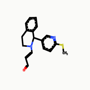 CSc1ccc(C2c3ccccc3CCN2C=CC=O)cn1